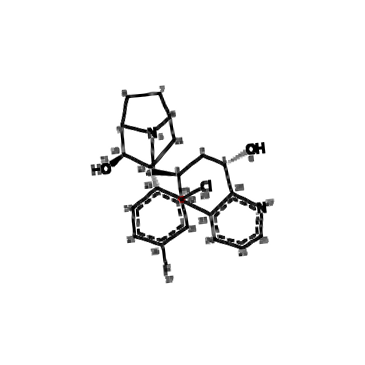 O[C@H]1C[C@H](CN2C3CCC2[C@H](O)[C@@H](c2ccc(F)cc2Cl)C3)Cc2cccnc21